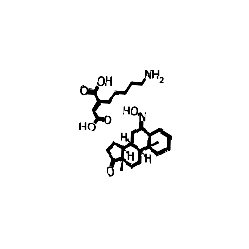 C[C@]12CCCCC1/C(=N/O)C[C@@H]1[C@@H]2CC[C@]2(C)C(=O)CC[C@@H]12.NCCCCC/C(=C\C(=O)O)C(=O)O